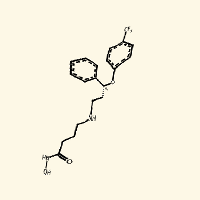 O=C(CCCNCC[C@@H](Oc1ccc(C(F)(F)F)cc1)c1ccccc1)NO